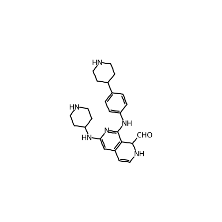 O=CC1NC=Cc2cc(NC3CCNCC3)nc(Nc3ccc(C4CCNCC4)cc3)c21